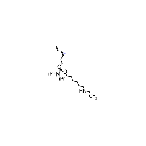 C=C/C=C\CCOP(OCCCCCCNCC(F)(F)F)N(C(C)C)C(C)C